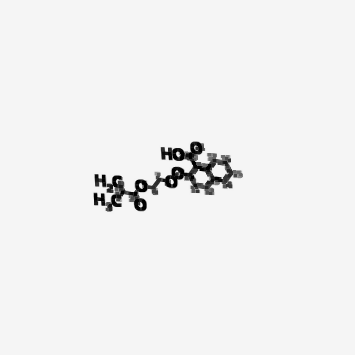 C=C(C)C(=O)OCCOOc1ccc2ccccc2c1C(=O)O